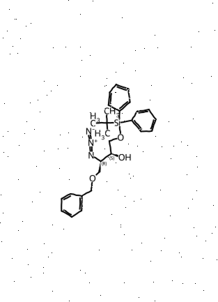 CC(C)(C)[Si](OC[C@@H](O)[C@@H](COCc1ccccc1)N=[N+]=[N-])(c1ccccc1)c1ccccc1